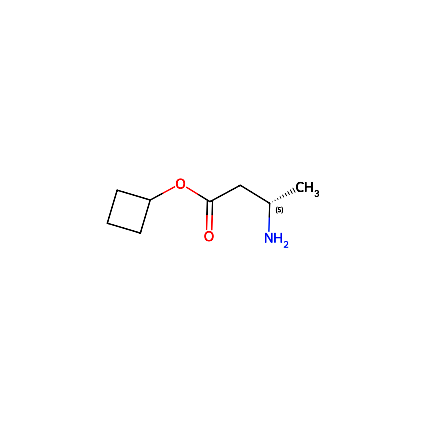 C[C@H](N)CC(=O)OC1CCC1